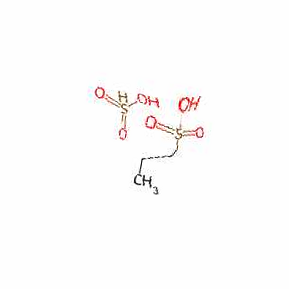 CCCS(=O)(=O)O.O=[SH](=O)O